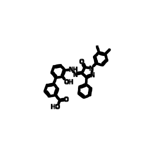 Cc1ccc(N2N=C(c3ccccc3)C(=NNc3cccc(-c4cccc(C(=O)O)c4)c3O)C2=O)cc1C